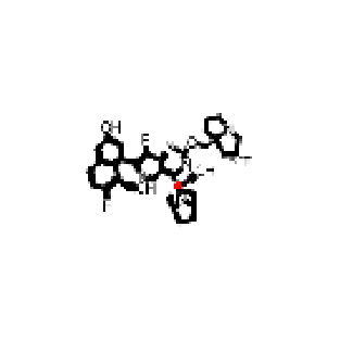 C#CCN1C2CCC1CN(c1nc(OC[C@@]34CCCN3C[C@H](F)C4)nc3c(F)c(-c4cc(O)cc5ccc(F)c(C#C)c45)ncc13)C2